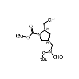 CC(C)(C)OC(=O)N1C[C@H](CN(C=O)OC(C)(C)C)C[C@@H]1CO